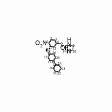 O=[N+]([O-])c1ccc(COP2NCCN2)cc1Oc1ccc(-c2ccccc2)cc1